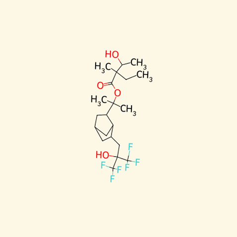 CCC(C)(C(=O)OC(C)(C)C1CC2CC(CC(O)(C(F)(F)F)C(F)(F)F)C1C2)C(C)O